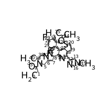 C=CC(=O)N1Cc2cc(-c3nc(-c4cn(C)cn4)c4ccsc4c3-c3c(F)cc(F)cc3OC(C)C)nn2CC1C